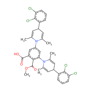 COC(=O)c1c(C(=O)O)cc(N2C(C)=CC(c3cccc(Cl)c3Cl)C=C2C)cc1N1C(C)=CC(c2cccc(Cl)c2Cl)C=C1C